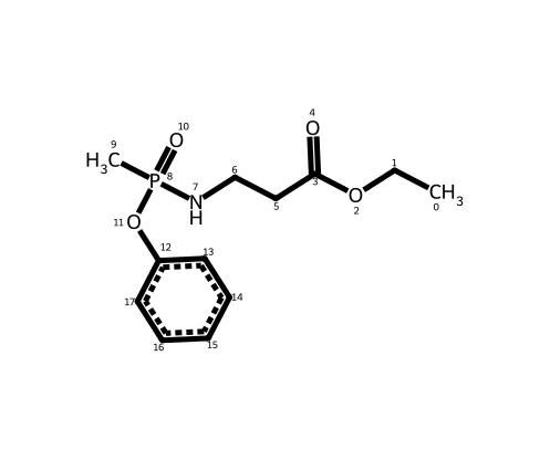 CCOC(=O)CCNP(C)(=O)Oc1ccccc1